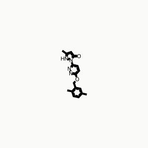 Cc1ccc(C)c(COc2ccc(-n3[nH]c(C)cc3=O)nn2)c1